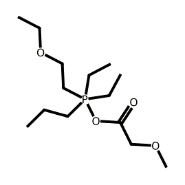 CCCP(CC)(CC)(CCOCC)OC(=O)COC